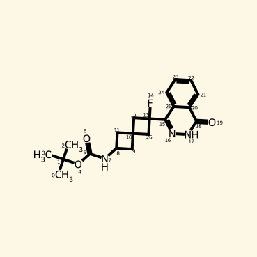 CC(C)(C)OC(=O)NC1CC2(C1)CC(F)(c1n[nH]c(=O)c3ccccc13)C2